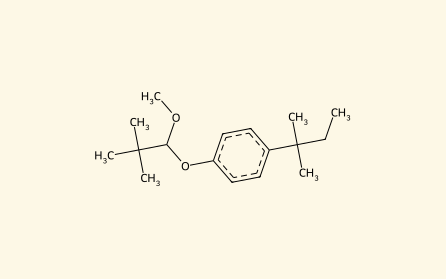 CCC(C)(C)c1ccc(OC(OC)C(C)(C)C)cc1